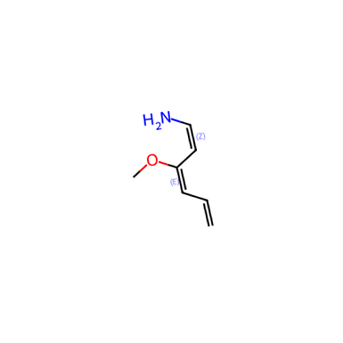 C=C/C=C(\C=C/N)OC